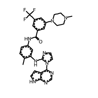 Cc1ccc(NC(=O)c2cc(N3CCN(C)CC3)cc(C(F)(F)F)c2)cc1Nc1nccn1-c1ncnc2[nH]ccc12